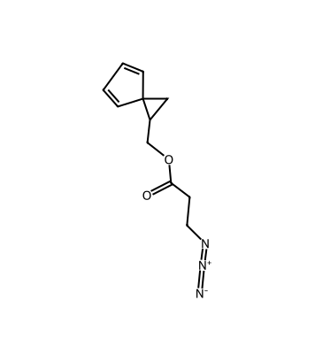 [N-]=[N+]=NCCC(=O)OCC1CC12C=CC=C2